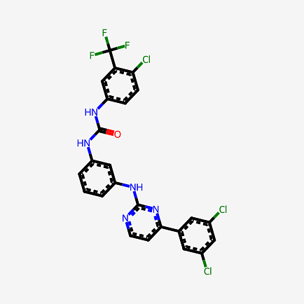 O=C(Nc1cccc(Nc2nccc(-c3cc(Cl)cc(Cl)c3)n2)c1)Nc1ccc(Cl)c(C(F)(F)F)c1